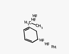 CC.F.F.F.F.F.[CH]1C=CC=CC1